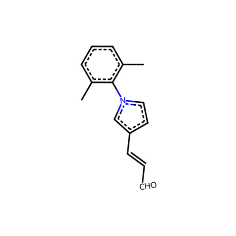 Cc1cccc(C)c1-n1ccc(/C=C/C=O)c1